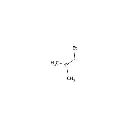 CC[CH]P(C)C